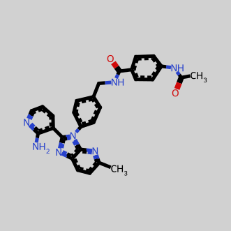 CC(=O)Nc1ccc(C(=O)NCc2ccc(-n3c(-c4cccnc4N)nc4ccc(C)nc43)cc2)cc1